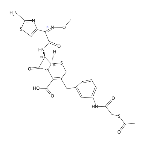 CO/N=C(\C(=O)N[C@@H]1C(=O)N2C(C(=O)O)=C(Cc3cccc(NC(=O)CSC(C)=O)c3)CS[C@H]12)c1csc(N)n1